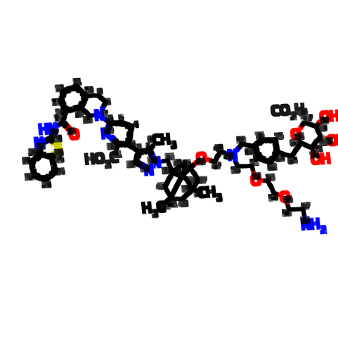 Cc1c(-c2ccc(N3CCc4cccc(C(=O)Nc5nc6ccccc6s5)c4C3)nc2C(=O)O)cnn1CC12CC3(C)CC(C)(C1)CC(OCCN(CCOCCOCCN)Cc1ccc(CC4O[C@H](C(=O)O)[C@@H](O)[C@H](O)[C@H]4O)cc1)(C3)C2